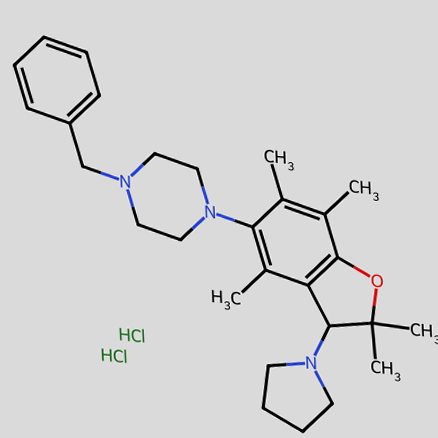 Cc1c(C)c(N2CCN(Cc3ccccc3)CC2)c(C)c2c1OC(C)(C)C2N1CCCC1.Cl.Cl